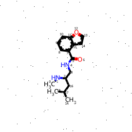 CNC(CNC(=O)c1cccc2occc12)CC(C)C